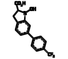 O=C(O)C1Cc2ccc(-c3ccc(C(F)(F)F)cc3)cc2N1O